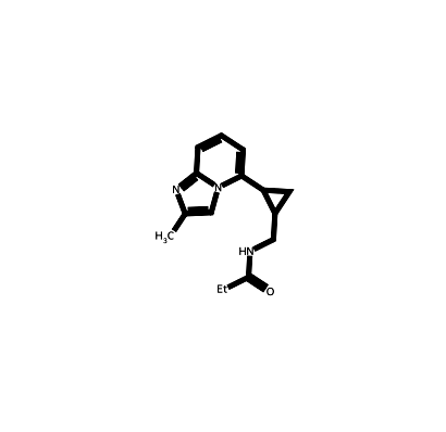 CCC(=O)NCC1CC1c1cccc2nc(C)cn12